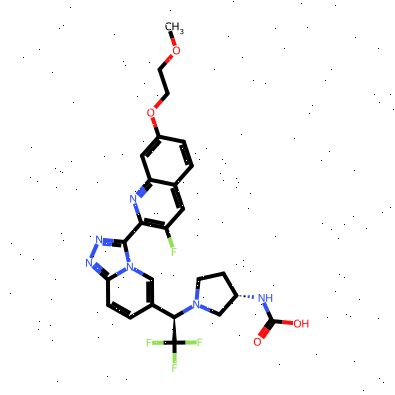 COCCOc1ccc2cc(F)c(-c3nnc4ccc([C@@H](N5CC[C@H](NC(=O)O)C5)C(F)(F)F)cn34)nc2c1